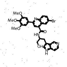 COc1cc(-c2cc(C(=O)NC(CO)Cc3c[nH]c4ccncc34)c3cc(Br)ccc3n2)cc(OC)c1OC